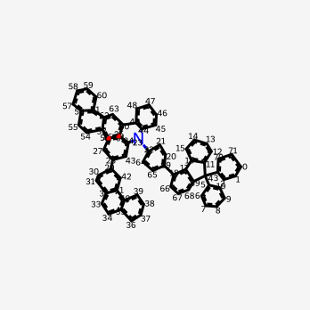 c1ccc(C2(c3ccccc3)c3ccccc3-c3c(-c4ccc(N(c5cccc(-c6ccc7ccc8ccccc8c7c6)c5)c5ccccc5-c5ccc6ccc7ccccc7c6c5)cc4)cccc32)cc1